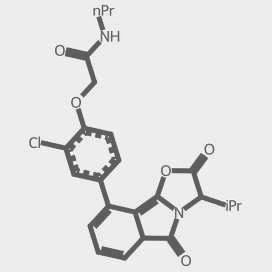 CCCNC(=O)COc1ccc(C2=CC=CC3C(=O)N4C(=C23)OC(=O)C4C(C)C)cc1Cl